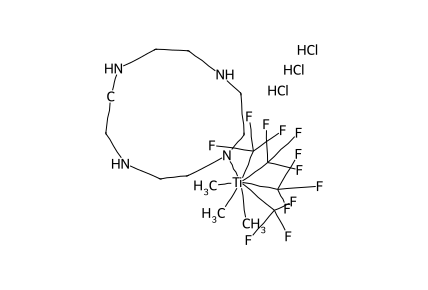 Cl.Cl.Cl.[CH3][Ti]([CH3])([CH3])([N]1CCNCCNCCNCC1)([C](F)(F)F)([C](F)(F)F)([C](F)(F)F)[C](F)(F)F